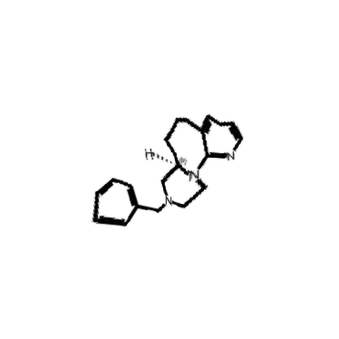 c1ccc(CN2CCN3c4ncccc4CC[C@@H]3C2)cc1